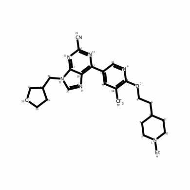 CCN1CCC(CCOc2ncc(-c3nc(C#N)nc4c3ncn4CC3CCOC3)cc2C(F)(F)F)CC1